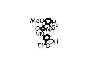 CCC(=O)c1cc(Nc2c(N[C@H](C)c3cccc(OC)c3)c(=O)c2=O)ccc1O